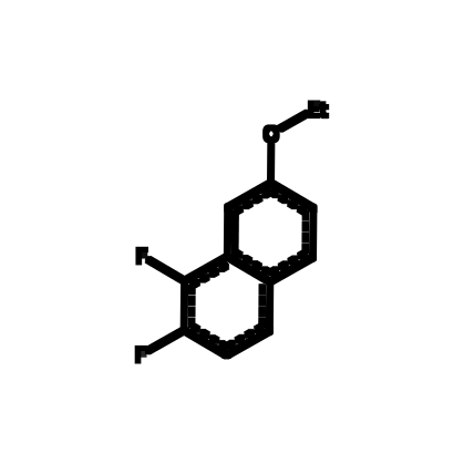 CCOc1ccc2ccc(F)c(F)c2c1